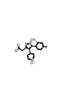 Cn1nc(CC(=O)[O-])c(-c2ccncc2)c1-c1ccc(F)cc1.[Li+]